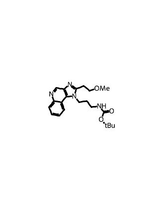 COCCc1nc2cnc3ccccc3c2n1CCCNC(=O)OC(C)(C)C